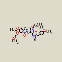 COCCCOc1cc(C(=O)N(CC2CN(C(=O)OC(C)(C)C)CC2CN(C(=O)Cc2ccc(OC)cc2)C2CC2)C(C)C)ccc1OC